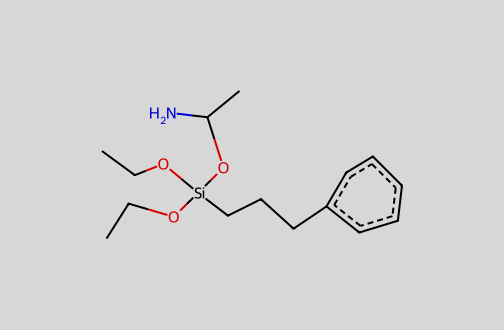 CCO[Si](CCCc1ccccc1)(OCC)OC(C)N